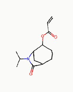 C=CC(=O)OC1CCC2CC1N(C(C)C)C2=O